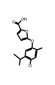 Cc1cc(Cl)c(C(C)C)cc1Oc1ccc(C(=O)O)o1